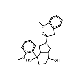 COc1ccccc1CC(=O)N1CC2C(O)CCC(O)(c3ccccc3OC)C2C1